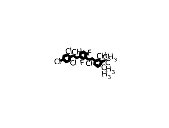 Cc1ccc(CC(C)c2c(F)ccc(CC(C)c3c(Cl)cc(Cl)cc3Cl)c2F)c(C)c1C(C)C